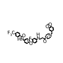 O=C(Nc1ccc(Oc2ccc(NCCC(=O)N3CCN(Cc4ccc5c(c4)OCO5)CC3)cc2F)nc1)c1ccc(C(F)(F)F)cc1